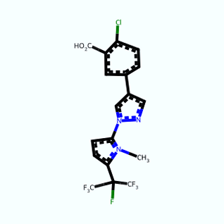 Cn1c(-n2cc(-c3ccc(Cl)c(C(=O)O)c3)cn2)ccc1C(F)(C(F)(F)F)C(F)(F)F